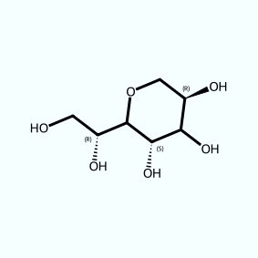 OC[C@@H](O)C1OC[C@@H](O)C(O)[C@@H]1O